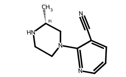 C[C@@H]1CN(c2ncccc2C#N)CCN1